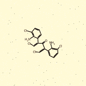 Nc1c(Cl)cccc1C(=CCl)C(=O)C(=CCl)c1cccc(Cl)c1N